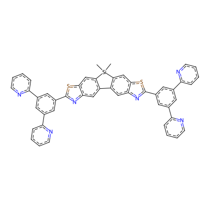 C[Si]1(C)c2cc3sc(-c4cc(-c5ccccn5)cc(-c5ccccn5)c4)nc3cc2-c2cc3nc(-c4cc(-c5ccccn5)cc(-c5ccccn5)c4)sc3cc21